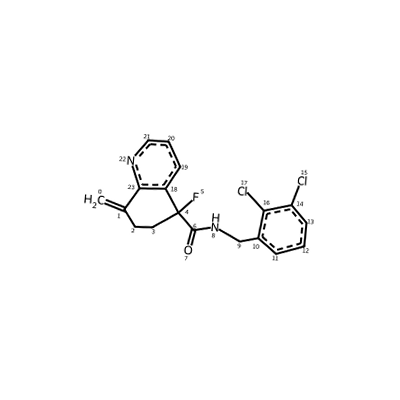 C=C1CCC(F)(C(=O)NCc2cccc(Cl)c2Cl)c2cccnc21